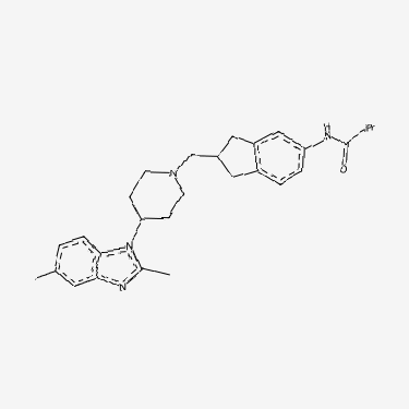 Cc1ccc2c(c1)nc(C)n2C1CCN(CC2Cc3ccc(NC(=O)C(C)C)cc3C2)CC1